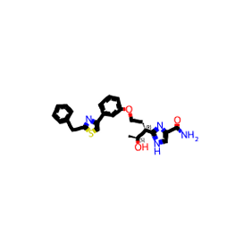 C[C@H](O)[C@H](CCOc1cccc(-c2csc(Cc3ccccc3)n2)c1)c1nc(C(N)=O)c[nH]1